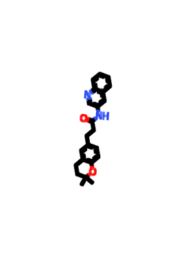 CC1(C)CCc2cc(CCC(=O)Nc3cnc4ccccc4c3)ccc2O1